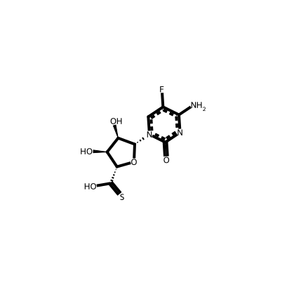 Nc1nc(=O)n([C@@H]2O[C@H](C(O)=S)[C@@H](O)[C@H]2O)cc1F